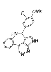 COc1ccc(C2Nc3ccccc3-c3cnnc4[nH]cc2c34)cc1F